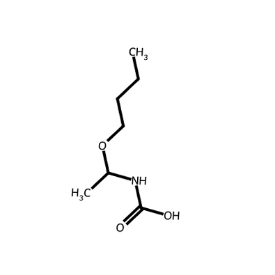 CCCCOC(C)NC(=O)O